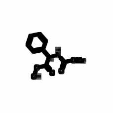 COC(=O)N[C@@H](C(=O)OO)c1ccccc1